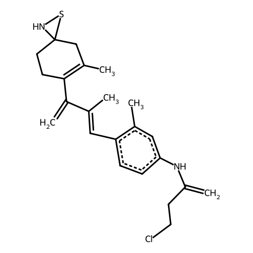 C=C(CCCl)Nc1ccc(/C=C(\C)C(=C)C2=C(C)CC3(CC2)NS3)c(C)c1